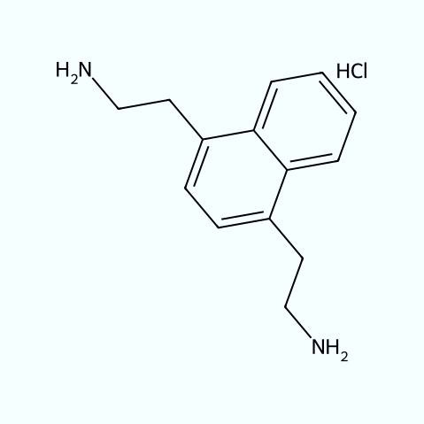 Cl.NCCc1ccc(CCN)c2ccccc12